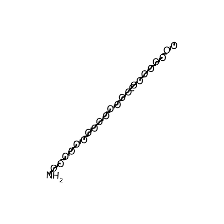 COCCOCCOCCOCCOCCOCCOCCOCCOCCOCCOCCOCCOCCOCCOCCOCCOCCOCCOCCOCCOCCOCCN